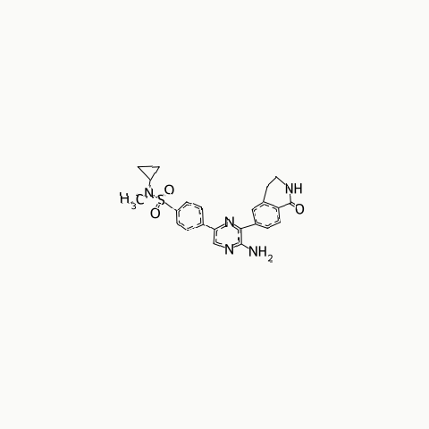 CN(C1CC1)S(=O)(=O)c1ccc(-c2cnc(N)c(-c3ccc4c(c3)CCNC4=O)n2)cc1